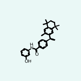 C=C(c1ccc(C(=O)Nc2cccc(O)c2)cc1)c1cc2c(cc1C)C(C)(C)CCC2(C)C